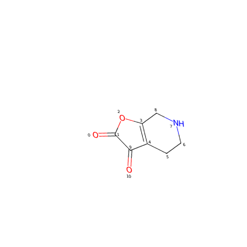 O=C1OC2=C(CCNC2)C1=O